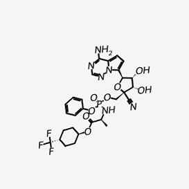 C[C@H](N[P@](=O)(OC[C@@]1(C#N)O[C@@H](c2ccc3c(N)ncnn23)[C@H](O)[C@@H]1O)Oc1ccccc1)C(=O)O[C@H]1CC[C@H](C(F)(F)F)CC1